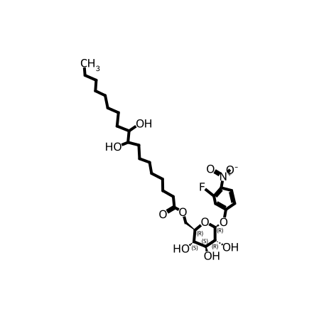 CCCCCCCCC(O)C(O)CCCCCCCC(=O)OC[C@H]1O[C@H](Oc2ccc([N+](=O)[O-])c(F)c2)[C@H](O)[C@@H](O)[C@@H]1O